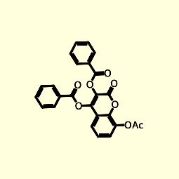 CC(=O)Oc1cccc2c(OC(=O)c3ccccc3)c(OC(=O)c3ccccc3)c(=O)oc12